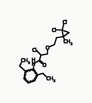 CCc1cccc(CC)c1NC(=O)C(Cl)COCCC1(C)CC1(Cl)Cl